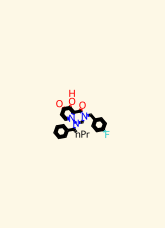 CCCC(c1ccccc1)N1CN(Cc2ccc(F)cc2)C(=O)c2c(O)c(=O)ccn21